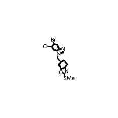 CSc1nc2ccc(Cn3cnc4cc(Br)c(Cl)cc43)cc2o1